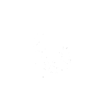 CCC(C)CN(C(N)=O)C(=O)C1(NC(=O)[C@H](CCc2ccc(OP(=O)(O)O)cc2)NC(=O)O)CCc2[nH]c3c(Cl)cc(Cl)cc3c2C1